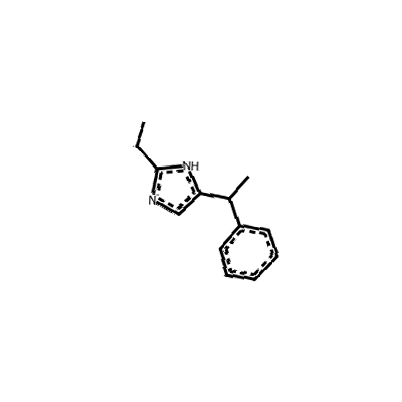 C[CH]c1ncc(C(C)c2ccccc2)[nH]1